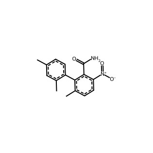 Cc1ccc(-c2c(C)ccc([N+](=O)[O-])c2C(N)=O)c(C)c1